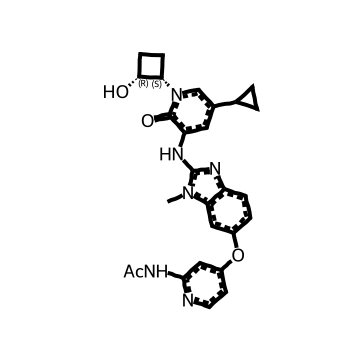 CC(=O)Nc1cc(Oc2ccc3nc(Nc4cc(C5CC5)cn([C@H]5CC[C@H]5O)c4=O)n(C)c3c2)ccn1